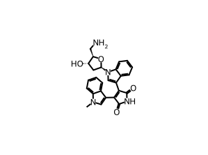 Cn1cc(C2=C(c3cn([C@H]4C[C@H](O)[C@@H](CN)O4)c4ccccc34)C(=O)NC2=O)c2ccccc21